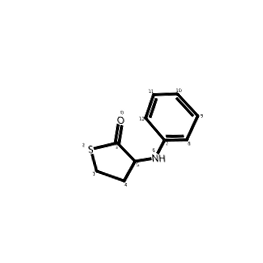 O=C1SCCC1Nc1ccccc1